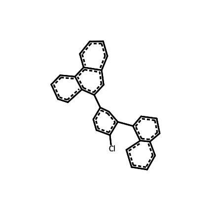 Clc1ccc(-c2cc3ccccc3c3ccccc23)cc1-c1cccc2ccccc12